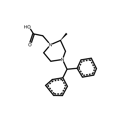 C[C@H]1CN(C(c2ccccc2)c2ccccc2)CCN1CC(=O)O